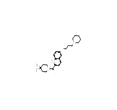 O=C(c1ccc2cc(OCCCN3CCCCC3)ccc2n1)N1CCC(F)(F)CC1